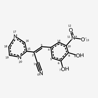 N#C/C(=C\c1cc(O)c(O)c([N+](=O)[O-])c1)c1cnccn1